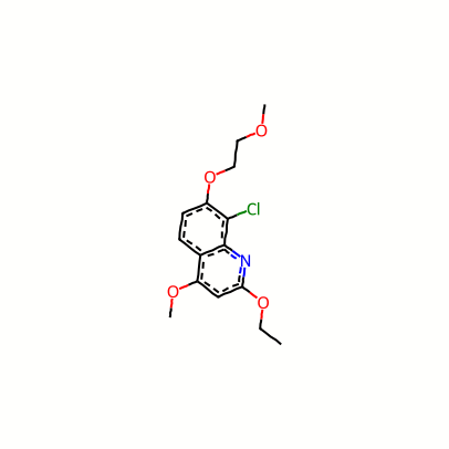 CCOc1cc(OC)c2ccc(OCCOC)c(Cl)c2n1